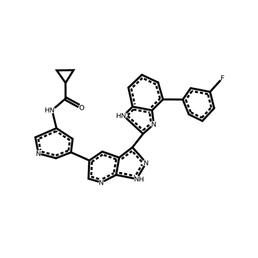 O=C(Nc1cncc(-c2cnc3[nH]nc(-c4nc5c(-c6cccc(F)c6)cccc5[nH]4)c3c2)c1)C1CC1